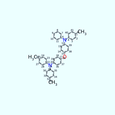 Cc1ccc(N(c2ccccc2)c2ccc(Oc3ccc(N(c4ccc(C)cc4)c4ccc(C)cc4)cc3)cc2)cc1